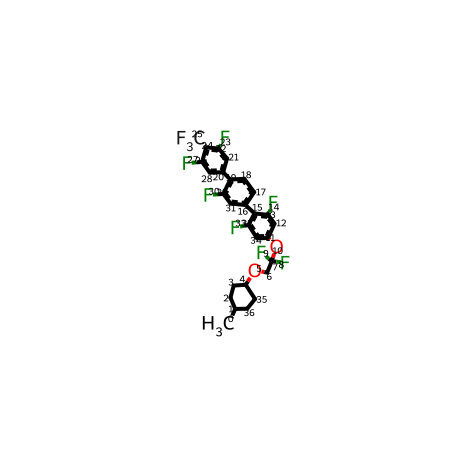 CC1CCC(OCC(F)(F)Oc2cc(F)c(-c3ccc(-c4cc(F)c(C(F)(F)F)c(F)c4)c(F)c3)c(F)c2)CC1